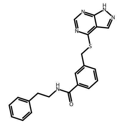 O=C(NCCc1ccccc1)c1cccc(CSc2ncnc3[nH]ncc23)c1